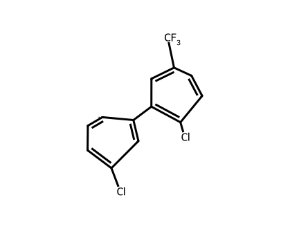 FC(F)(F)c1ccc(Cl)c(-c2[c]ccc(Cl)c2)c1